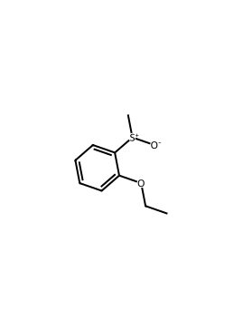 CCOc1ccccc1[S+](C)[O-]